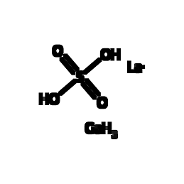 O=S(=O)(O)O.[GaH3].[La]